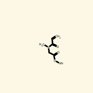 C=CC(=O)N(C)CC(=O)OCCC